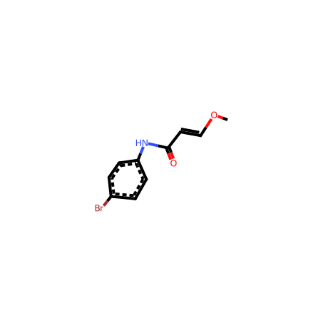 CO/C=C/C(=O)Nc1ccc(Br)cc1